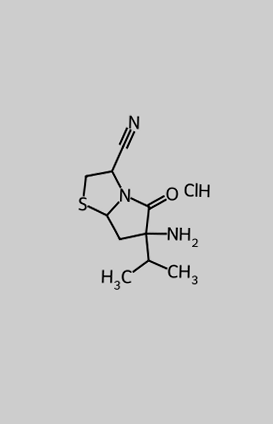 CC(C)C1(N)CC2SCC(C#N)N2C1=O.Cl